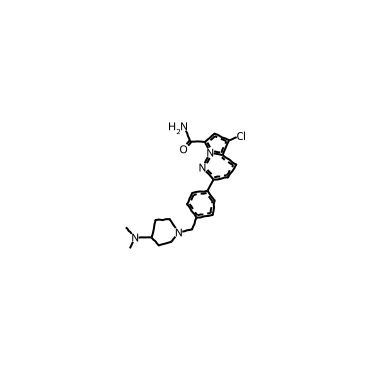 CN(C)C1CCN(Cc2ccc(-c3ccc4c(Cl)cc(C(N)=O)n4n3)cc2)CC1